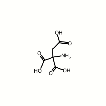 NC(CC(=O)O)(C(=O)O)C(=O)O